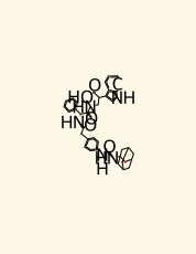 O=C(Cc1ccc(NC(=O)NC23CC4CC(CC(C4)C2)C3)cc1)NC(C(=O)NCC(C(=O)O)c1c[nH]c2ccccc12)c1ccccc1